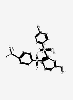 C[C@H](N)c1ccc(S(=O)(=O)c2ccc(CO)cc2S(=O)(=O)c2ccc(Cl)cc2)cc1